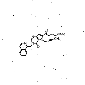 CC#CCn1c(N(CC)CCCNC)cc2ncn(Cc3nccc4ccccc34)c(=O)c21